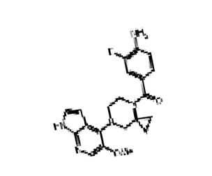 COc1cnc2[nH]ccc2c1N1CCN(C(=O)c2ccc(N)c(F)c2)C2(CC2)C1